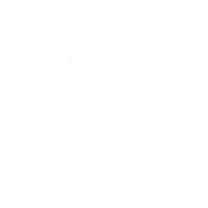 O=C(C1CCCC1)N1CCC2=C(F)CCCC2=C1CCN1CCC(c2noc3cc(F)ccc23)CC1